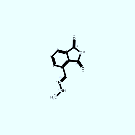 CN/N=C/c1cccc2c1C(=O)OC2=O